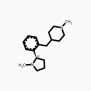 CN1CCC(Cc2ccccc2[C@H]2CCCN2C)CC1